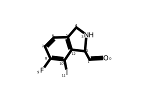 O=CC1NCc2ccc(F)c(I)c21